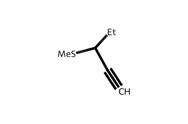 C#CC(CC)SC